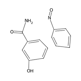 NC(=O)c1cccc(O)c1.O=Nc1ccccc1